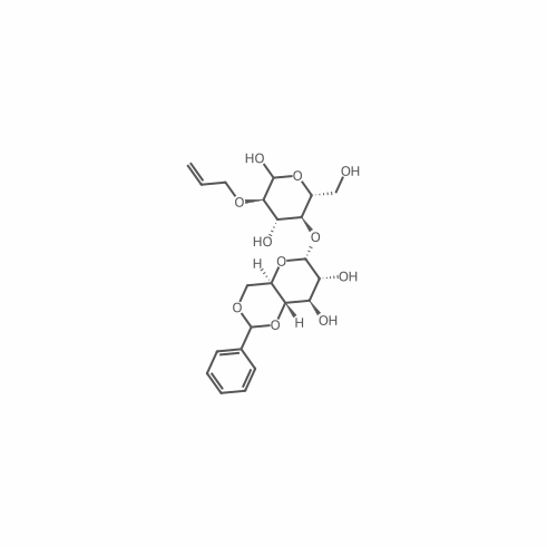 C=CCO[C@H]1C(O)O[C@H](CO)[C@@H](O[C@H]2O[C@@H]3COC(c4ccccc4)O[C@H]3[C@H](O)[C@H]2O)[C@@H]1O